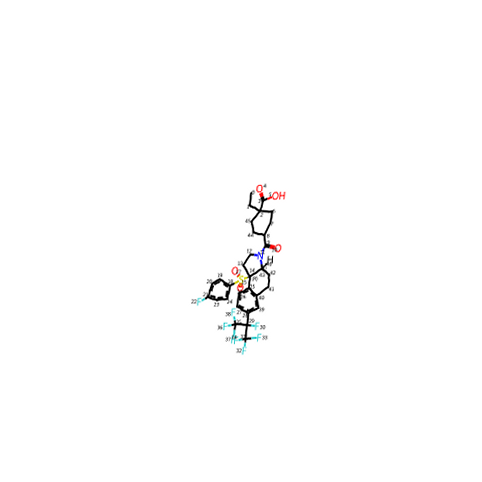 CCC1(C(=O)O)CCC(C(=O)N2CC[C@@]3(S(=O)(=O)c4ccc(F)cc4)c4ccc(C(F)(C(F)(F)F)C(F)(F)F)cc4CC[C@@H]23)CC1